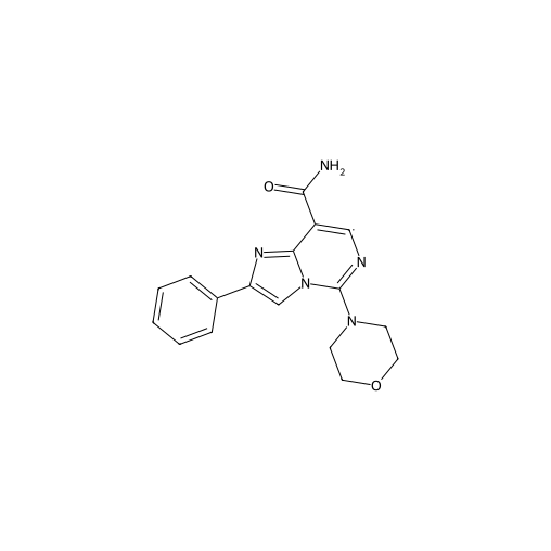 NC(=O)c1[c]nc(N2CCOCC2)n2cc(-c3ccccc3)nc12